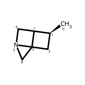 C[C@H]1CC23CN2CC13